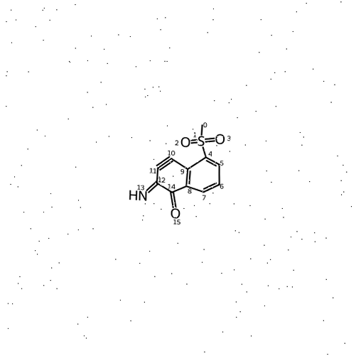 CS(=O)(=O)c1cccc2c1C#CC(=N)C2=O